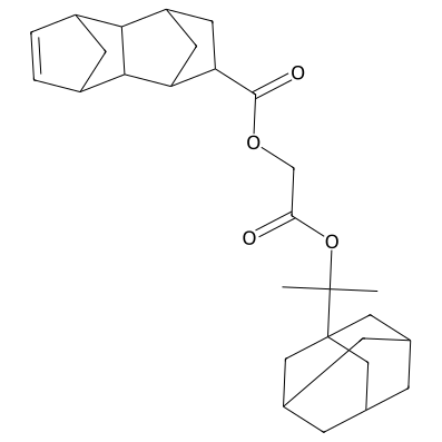 CC(C)(OC(=O)COC(=O)C1CC2CC1C1C3C=CC(C3)C21)C12CC3CC(CC(C3)C1)C2